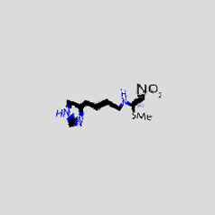 CS/C(=C/[N+](=O)[O-])NCCCCc1c[nH]cn1